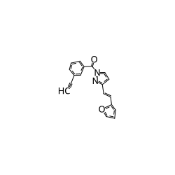 C#Cc1cccc(C(=O)n2ccc(/C=C/c3ccco3)n2)c1